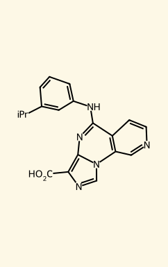 CC(C)c1cccc(Nc2nc3c(C(=O)O)ncn3c3cnccc23)c1